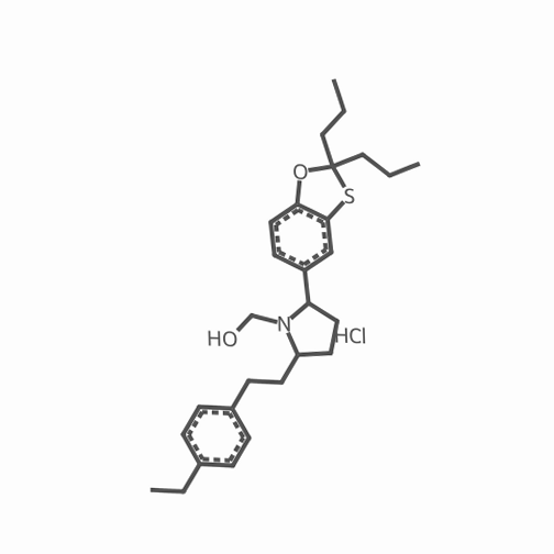 CCCC1(CCC)Oc2ccc(C3CCC(CCc4ccc(CC)cc4)N3CO)cc2S1.Cl